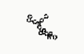 c1ccc(-c2ccc(N(c3ccc(-c4cccc5ccccc45)cc3)c3ccc(-c4cccc5c4oc4cc6oc(-c7ccccc7)nc6cc45)cc3)cc2)cc1